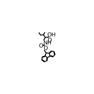 CCC(C)C(CNC(=O)OCC1c2ccccc2-c2ccccc21)C(=O)O